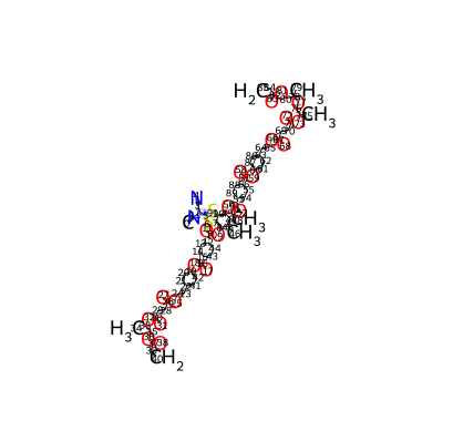 [C-]#[N+]/C(C#N)=C1\Sc2c(OC(=O)[C@H]3CC[C@H](C(=O)Oc4ccc(CCOC(=O)CCC(=O)OC(C)COC(=O)C=C)cc4)CC3)c(C)c(C)c(OC(=O)[C@H]3CC[C@H](C(=O)Oc4ccc(CCOC(=O)CCC(=O)OC(C)COC(C)COC(=O)C=C)cc4)CC3)c2S1